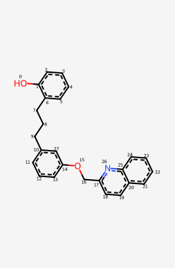 Oc1ccccc1CCCc1cccc(OCc2ccc3ccccc3n2)c1